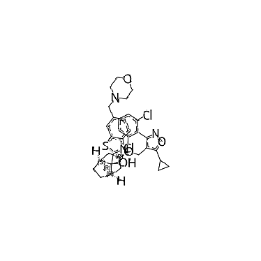 O[C@@]1(c2nc3ccc(CN4CCOCC4)cc3s2)[C@@H]2CC[C@H]1C[C@@H](OCc1c(-c3c(Cl)cccc3Cl)noc1C1CC1)C2